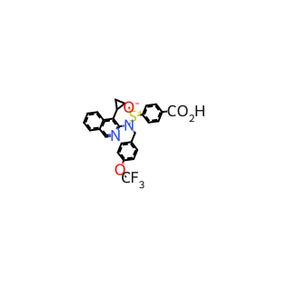 O=C(O)c1ccc([S+]([O-])N(Cc2ccc(OC(F)(F)F)cc2)c2ncc3ccccc3c2C2CC2)cc1